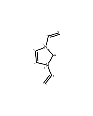 C=CN1C=CN(C=C)C1